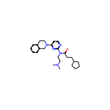 CN(C)CCN(C(=O)CCC1CCCC1)c1nccc(N2CCc3ccccc3C2)n1